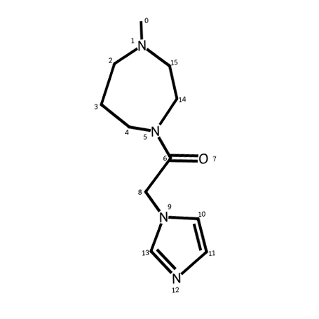 CN1CCCN(C(=O)Cn2ccnc2)CC1